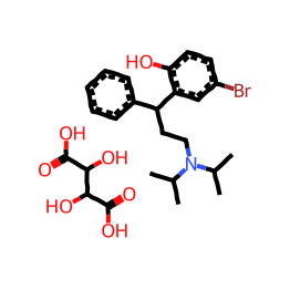 CC(C)N(CCC(c1ccccc1)c1cc(Br)ccc1O)C(C)C.O=C(O)C(O)C(O)C(=O)O